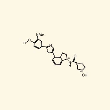 CNc1cc(-c2ncc(-c3cccc4c3CC[C@@H]4NC(=O)N3CC[C@H](O)C3)s2)ccc1OC(C)C